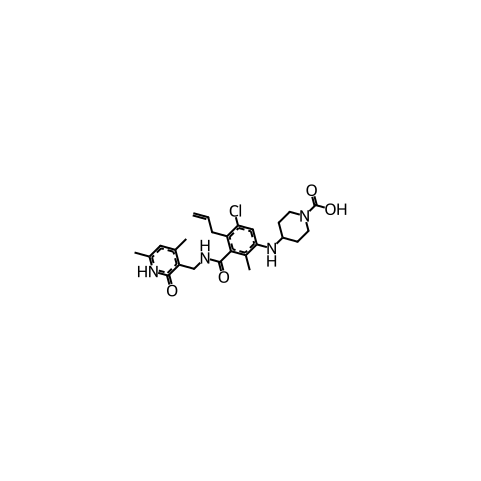 C=CCc1c(Cl)cc(NC2CCN(C(=O)O)CC2)c(C)c1C(=O)NCc1c(C)cc(C)[nH]c1=O